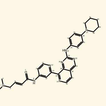 CN(C)CC=CC(=O)Nc1ccnc(-c2nccc3cnc(Nc4ccc(N5CCCCC5)cc4)nc23)c1